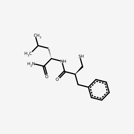 CC(C)C[C@H](NC(=O)[C@@H](CS)Cc1ccccc1)C(N)=O